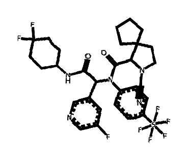 N#CN1CCC2(CCCC2)C1C(=O)N(c1ccc(S(F)(F)(F)(F)F)cc1)C(C(=O)NC1CCC(F)(F)CC1)c1cncc(F)c1